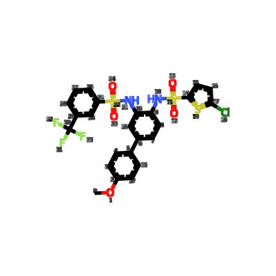 COc1ccc(-c2ccc(NS(=O)(=O)c3ccc(Cl)s3)c(NS(=O)(=O)c3cccc(C(F)(F)F)c3)c2)cc1